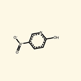 O=[N+]([O-])c1[c]nc(O)cc1